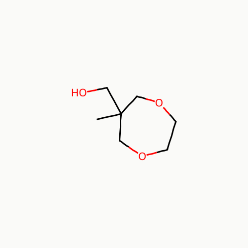 CC1(CO)COCCOC1